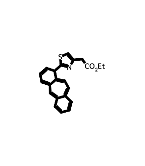 CCOC(=O)Cc1csc(C2C=CC=C3C=c4ccccc4=CC=C32)n1